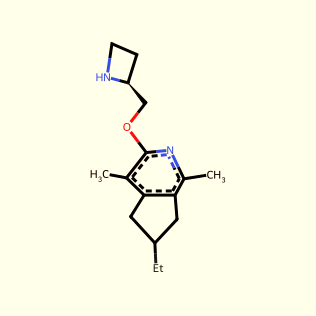 CCC1Cc2c(C)nc(OC[C@@H]3CCN3)c(C)c2C1